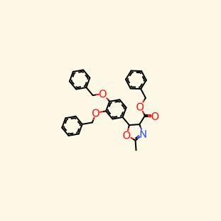 CC1=NC(C(=O)OCc2ccccc2)C(c2ccc(OCc3ccccc3)c(OCc3ccccc3)c2)O1